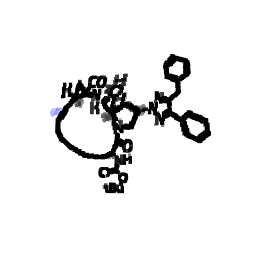 CC(C)(C)OC(=O)N[C@@H]1CCCCC/C=C\[C@@H]2C[C@]2(C(=O)O)NC(=O)[C@@H]2C[C@H](n3nc(Cc4ccccc4)c(-c4ccccc4)n3)CN2C1=O